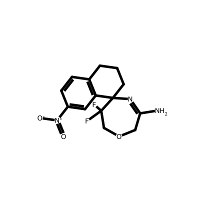 NC1=NC2(CCCc3ccc([N+](=O)[O-])cc32)C(F)(F)COC1